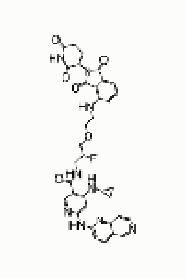 O=C1CCC(N2C(=O)c3cccc(NCCOCC(F)CNC(=O)c4cnc(Nc5ccc6cnccc6n5)cc4NC4CC4)c3C2=O)C(=O)N1